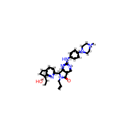 C=CCN1C(=O)c2cnc(Nc3ccc(N4CCN(C)CC4)cc3)nc2C1c1ccc2c(n1)[C@@](O)(CC)CC2